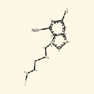 CSc1nc(Cl)cc2ncn(COCCSI)c12